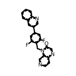 O=c1cnc2ccncc2n1Cc1c(F)cc(-c2cnc3ccccc3c2)cc1F